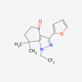 CC1(C)CCC(=O)c2c(-c3ccco3)nn(CC(F)(F)F)c21